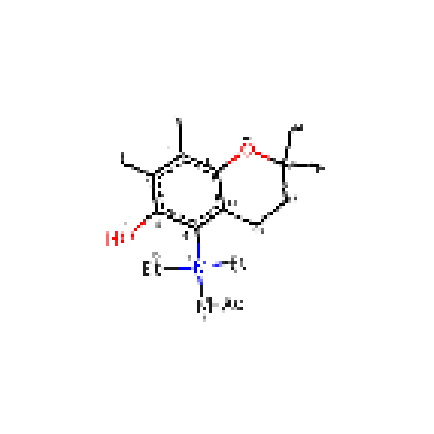 CC[N+](CC)(NC(C)=O)c1c(O)c(C)c(C)c2c1CCC(C)(C)O2